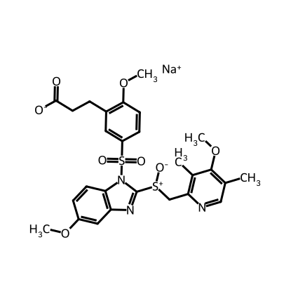 COc1ccc2c(c1)nc([S+]([O-])Cc1ncc(C)c(OC)c1C)n2S(=O)(=O)c1ccc(OC)c(CCC(=O)[O-])c1.[Na+]